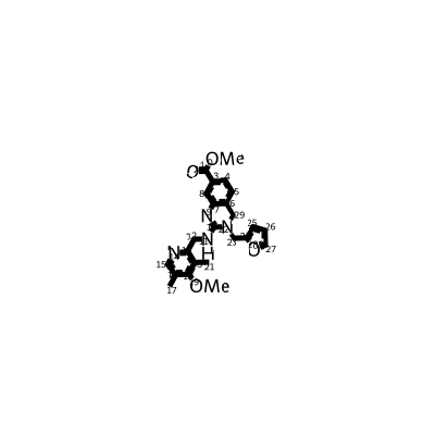 COC(=O)c1ccc2c(c1)N=C(NCc1ncc(C)c(OC)c1C)N(Cc1ccco1)C2